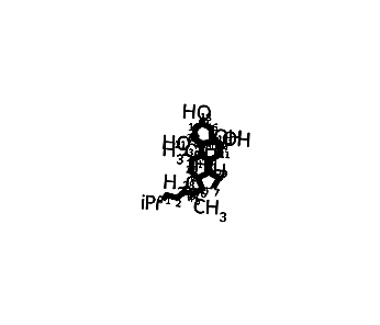 CC(C)CCC[C@@H](C)[C@H]1CC[C@H]2[C@@H]3C[C@@H](O)[C@@]4(O)C[C@@H](O)C[C@@H](O)[C@]4(C)[C@H]3CC[C@]12C